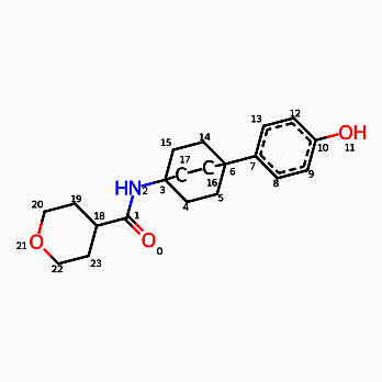 O=C(NC12CCC(c3ccc(O)cc3)(CC1)CC2)C1CCOCC1